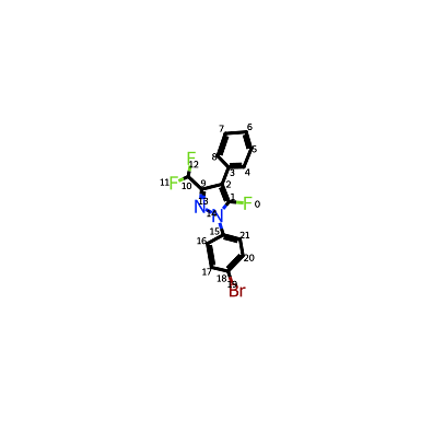 Fc1c(-c2ccccc2)c(C(F)F)nn1-c1ccc(Br)cc1